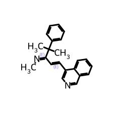 C/N=C(\C=C\c1cncc2ccccc12)C(C)(C)c1ccccc1